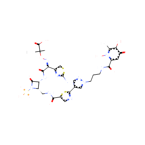 Cc1c(O)c(=O)cc(C(=O)NCCCn2cc(-c3ncc(C(=O)NC[C@@H]4[C@H](NC(=O)/C(=N\OC(C)(C)C(=O)O)c5csc(N)n5)C(=O)N4S(=O)(=O)O)s3)cn2)n1O